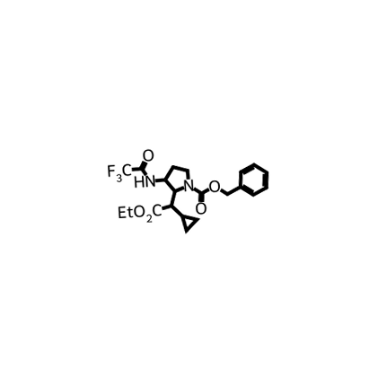 CCOC(=O)C(C1CC1)C1C(NC(=O)C(F)(F)F)CCN1C(=O)OCc1ccccc1